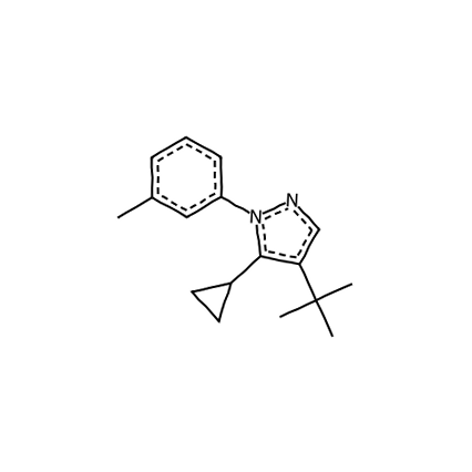 Cc1cccc(-n2ncc(C(C)(C)C)c2C2CC2)c1